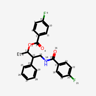 CCC(OC(=O)c1ccc(F)cc1)C(CNC(=O)c1ccc(F)cc1)c1ccccc1